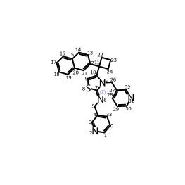 c1cncc(C/N=c2\scc(C3(c4ccc5ccccc5c4)CCC3)n2Cc2cccnc2)c1